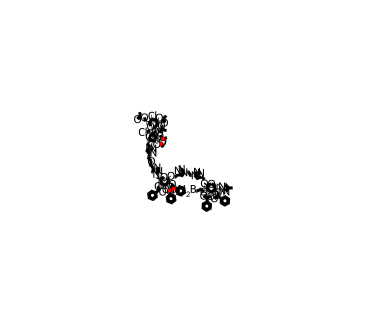 BCCO[C@@H]1[C@@H](OCc2cn(CCn3cc(CO[C@H]4O[C@H](Cn5cc(COCc6cn(C[C@H]7O[C@@](CCl)(O[C@H]8O[C@H](COC(C)=O)[C@H](Cl)[C@H](OC(C)=O)[C@H]8OC(C)=O)[C@@H](OC(C)=O)[C@@H]7OC(C)=O)nn6)nn5)[C@@H](OC(=O)c5ccccc5)[C@H](OC(=O)c5ccccc5)[C@@H]4OC(=O)c4ccccc4)nn3)nn2)O[C@H](Cn2cc(C)nn2)[C@@H](OC(=O)c2ccccc2)[C@@H]1OC(=O)c1ccccc1